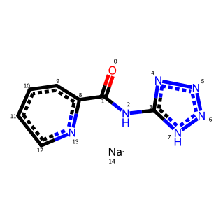 O=C(Nc1nnn[nH]1)c1ccccn1.[Na]